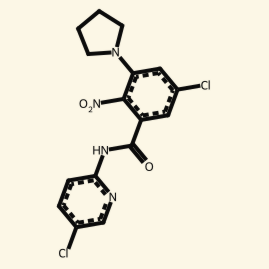 O=C(Nc1ccc(Cl)cn1)c1cc(Cl)cc(N2CCCC2)c1[N+](=O)[O-]